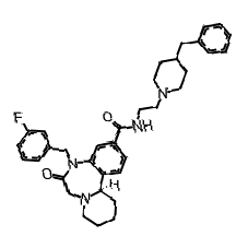 O=C(NCCN1CCC(Cc2ccccc2)CC1)c1ccc2c(c1)N(Cc1cccc(F)c1)C(=O)CN1CCCC[C@H]21